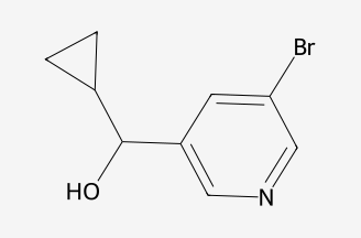 OC(c1cncc(Br)c1)C1CC1